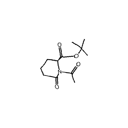 CC(=O)N1C(=O)CCC[C@H]1C(=O)OC(C)(C)C